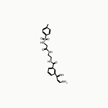 Cc1ccc(S(=O)(=O)NCC(=O)NCCNC(=O)c2cccc(C(=N)/C=C\N)c2)cc1